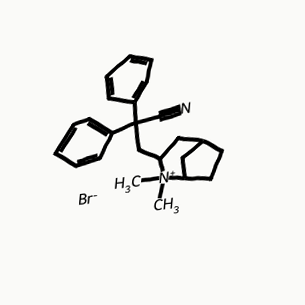 C[N+]1(C)C2CCC(C2)CC1CC(C#N)(c1ccccc1)c1ccccc1.[Br-]